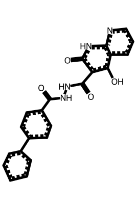 O=C(NNC(=O)c1c(O)c2cccnc2[nH]c1=O)c1ccc(-c2ccccc2)cc1